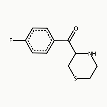 O=C(c1ccc(F)cc1)C1CSCCN1